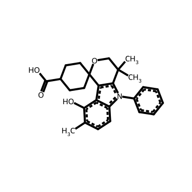 Cc1ccc2c(c1O)c1c(n2-c2ccccc2)C(C)(C)COC12CCC(C(=O)O)CC2